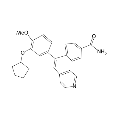 COc1ccc(C(=Cc2ccncc2)c2ccc(C(N)=O)cc2)cc1OC1CCCC1